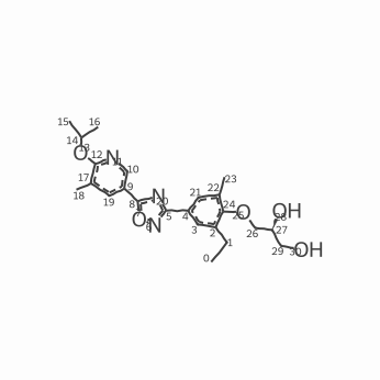 CCc1cc(-c2noc(-c3cnc(OC(C)C)c(C)c3)n2)cc(C)c1OC[C@@H](O)CO